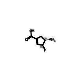 N[C@H]1CC(C(=O)O)=C[C@@H]1F